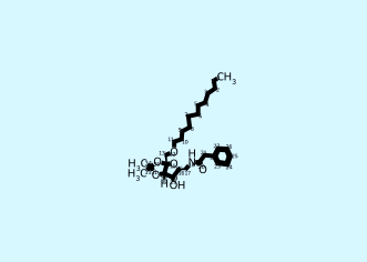 CCCCCCCCCCCCOC[C@@]12O[C@@H](CNC(=O)Cc3ccccc3)[C@@H](O)[C@@H]1OC(C)(C)O2